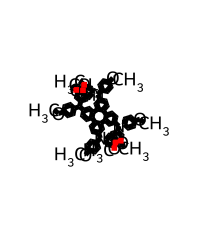 COc1ccc(C(c2ccc(OC)cc2)c2ccc3c(c2)-c2cc(N(c4ccc(OC)cc4)c4ccc(OC)cc4)ccc2-c2ccc(N(c4ccc(OC)cc4)c4ccc(OC)cc4)cc2-c2cc(N(c4ccc(OC)cc4)c4ccc(OC)cc4)ccc2-3)cc1